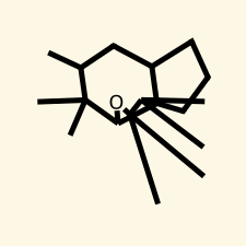 CC1CC2CCCC23C(OC(C)(C)C3(C)C)C1(C)C